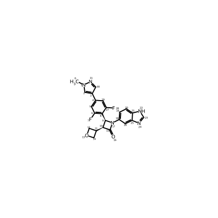 Cn1cc(-c2cc(F)c([C@@H]3[C@H](C4COC4)C(=O)N3c3ccc4[nH]cnc4c3)c(F)c2)cn1